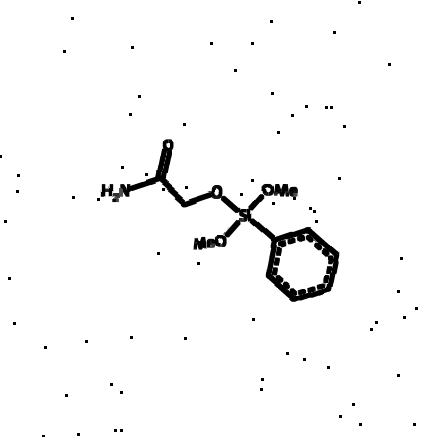 CO[Si](OC)(OCC(N)=O)c1ccccc1